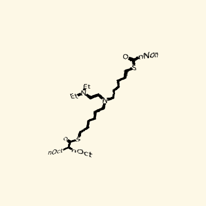 CCCCCCCCCC(=O)SCCCCCCN(CCCCCCSC(=O)C(CCCCCCCC)CCCCCCCC)CCN(CC)CC